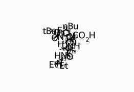 CCCCc1cc2c(c(NC(=O)OC(C)(C)C)c1F)C(=Cc1[nH]c(C)c(C(=O)NCCN(CC)CC)c1C)C(=O)N2C(=O)O